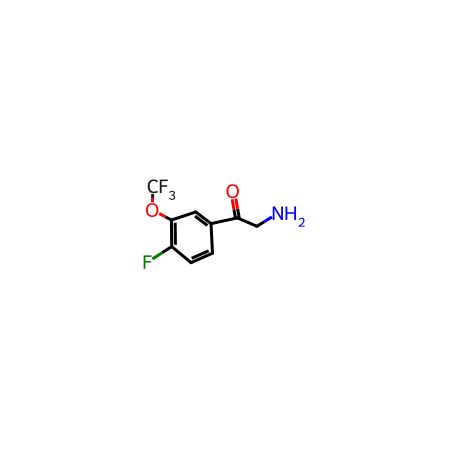 NCC(=O)c1ccc(F)c(OC(F)(F)F)c1